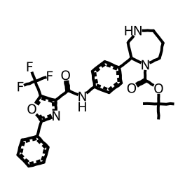 CC(C)(C)OC(=O)N1CCCNCC1c1ccc(NC(=O)c2nc(-c3ccccc3)oc2C(F)(F)F)cc1